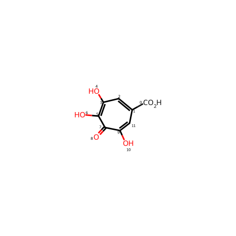 O=C(O)c1cc(O)c(O)c(=O)c(O)c1